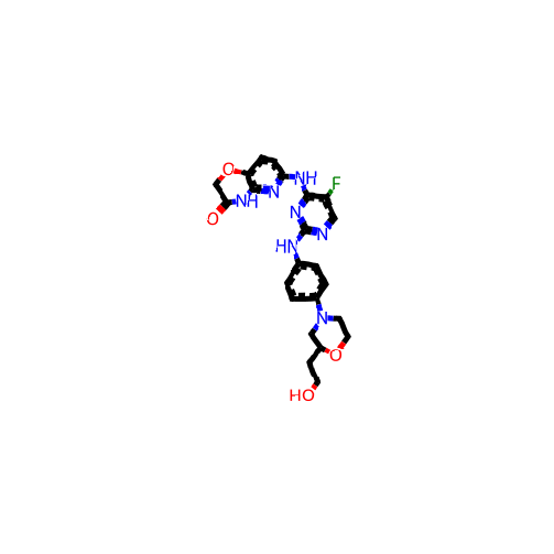 O=C1COc2ccc(Nc3nc(Nc4ccc(N5CCOC(CCO)C5)cc4)ncc3F)nc2N1